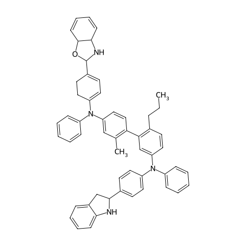 CCCc1ccc(N(c2ccccc2)c2ccc(C3Cc4ccccc4N3)cc2)cc1-c1ccc(N(C2=CC=C(C3NC4C=CC=CC4O3)CC2)c2ccccc2)cc1C